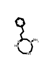 NN1CCNCCNN=C(CCc2ccccc2)C1